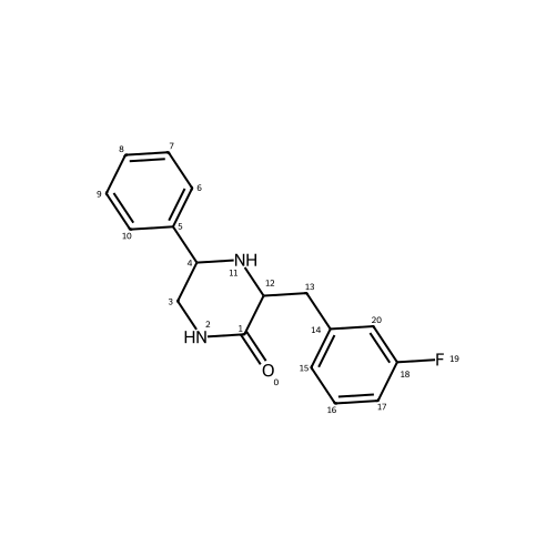 O=C1NCC(c2ccccc2)NC1Cc1cccc(F)c1